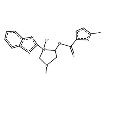 Cc1ccc(C(=O)OC2CN(C)C[N+]2([O-])c2nc3ccccc3s2)s1